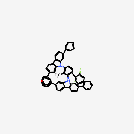 Fc1cccc(F)c1-c1ccc(-n2c3cc(-c4ccccc4)ccc3c3ccc(-c4ccccc4)cc32)c(C(F)(F)F)c1-n1c2cc(-c3ccccc3)ccc2c2ccc(-c3ccccc3)cc21